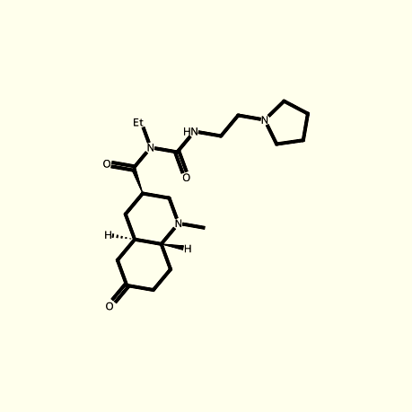 CCN(C(=O)NCCN1CCCC1)C(=O)[C@@H]1C[C@@H]2CC(=O)CC[C@H]2N(C)C1